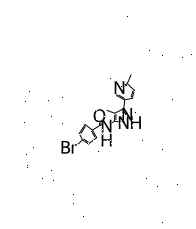 Cc1ccc(-c2n[nH]c(NC(=O)c3ccc(Br)cc3)c2C)cn1